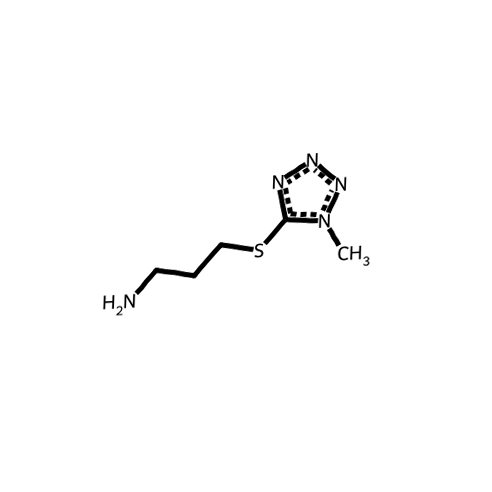 Cn1nnnc1SCCCN